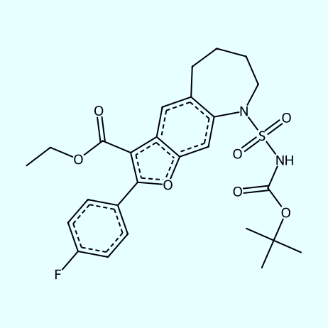 CCOC(=O)c1c(-c2ccc(F)cc2)oc2cc3c(cc12)CCCCN3S(=O)(=O)NC(=O)OC(C)(C)C